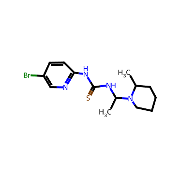 CC1CCCCN1C(C)NC(=S)Nc1ccc(Br)cn1